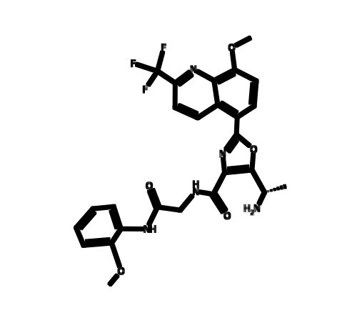 COc1ccccc1NC(=O)CNC(=O)c1nc(-c2ccc(OC)c3nc(C(F)(F)F)ccc23)oc1[C@H](C)N